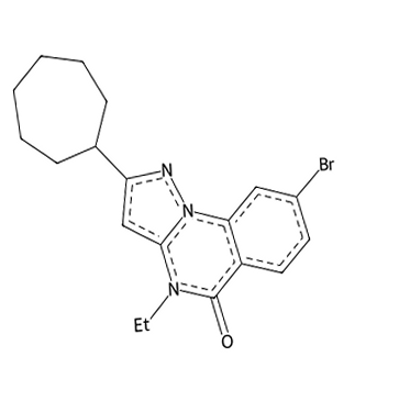 CCn1c(=O)c2ccc(Br)cc2n2nc(C3CCCCCC3)cc12